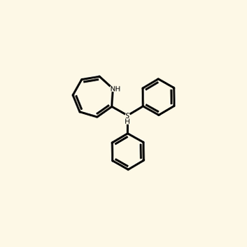 C1=CC=C([SH](c2ccccc2)c2ccccc2)NC=C1